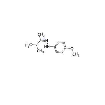 COc1ccc(N/N=C(/C)C(C)C)cc1